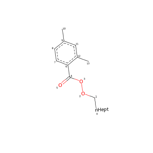 [CH2]CCCCCC[CH]OOC(=O)c1ccc(C)cc1C